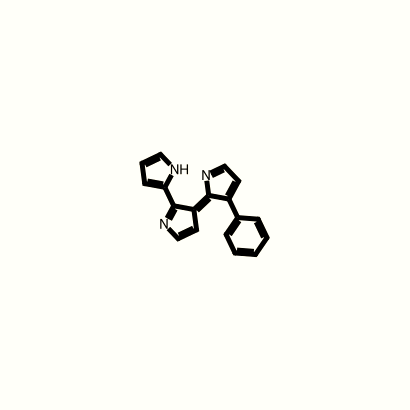 C1=CC(=C2N=CC=C2c2ccccc2)C(c2ccc[nH]2)=N1